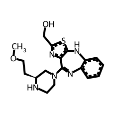 COCC[C@H]1CN(C2=Nc3ccccc3Nc3sc(CO)nc32)CCN1